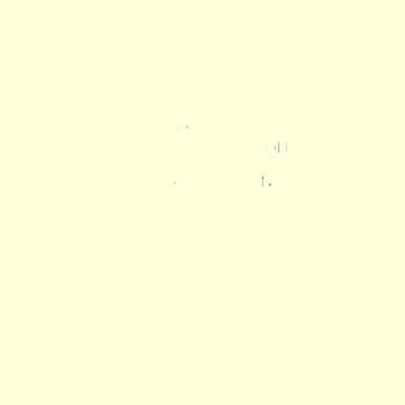 CC(C)(C)OC=O.ON1CCCCC1